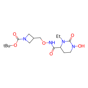 CCN1C(=O)N(O)CCC1C(=O)NOCC1CN(C(=O)OC(C)(C)C)C1